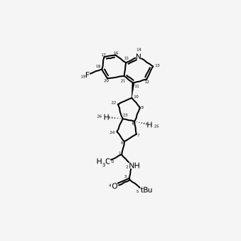 CC(NC(=O)C(C)(C)C)C1C[C@@H]2C[C@H](c3ccnc4ccc(F)cc34)C[C@@H]2C1